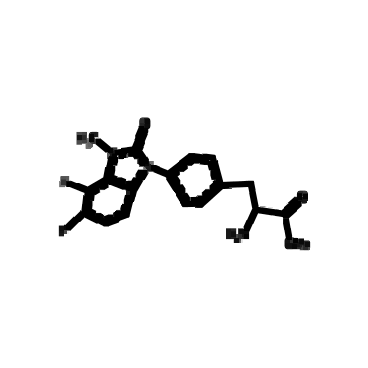 COC(=O)C(N)Cc1ccc(-n2c(=O)n(C)c3c(F)c(F)ccc32)cc1